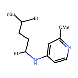 CCCCC(CC)CCC(CC)Nc1[c]c(OC)ncc1